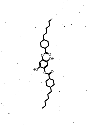 CCCCCCC1CCC(C(=O)Oc2cc(O)c(OC(=O)C3CCC(CCCCCC)CC3)cc2O)CC1